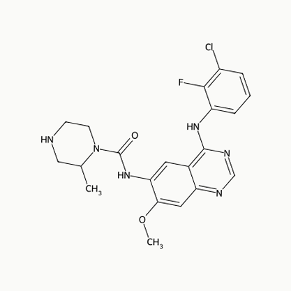 COc1cc2ncnc(Nc3cccc(Cl)c3F)c2cc1NC(=O)N1CCNCC1C